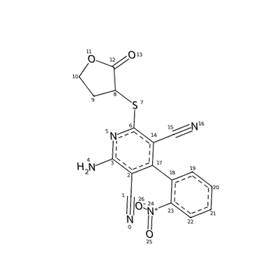 N#Cc1c(N)nc(SC2CCOC2=O)c(C#N)c1-c1ccccc1[N+](=O)[O-]